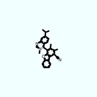 Cc1c(C)c(C#N)c2c(oc3ccccc32)c1-c1c2ccc(C(C)C)cc2nc[n+]1C